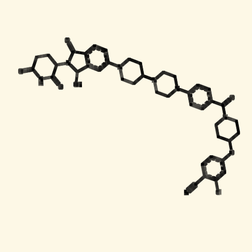 N#Cc1ccc(OC2CCN(C(=O)c3ccc(N4CCN(C5CCN(c6ccc7c(c6)C(O)N(C6CCC(=O)NC6=O)C7=O)CC5)CC4)cc3)CC2)cc1Cl